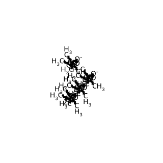 CCCCOC(CC)C(CC(=O)[O-])(OCCCC)OCCCC.CCCCOC(CC)C(CC(=O)[O-])(OCCCC)OCCCC.CCCCOC(CC)C(CC(=O)[O-])(OCCCC)OCCCC.CCCCOC(CC)C(CC(=O)[O-])(OCCCC)OCCCC.[Zr+4]